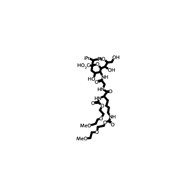 COCCOCCOC(=O)NCCCCC(NC(=O)OCCOCCOC)C(=O)NCC(=O)NC1C(O)CC(C(=O)O)(C(C(C)C)C(C)C)OC1C(O)C(O)CO